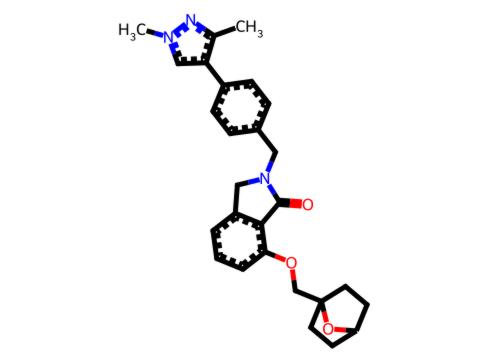 Cc1nn(C)cc1-c1ccc(CN2Cc3cccc(OCC45CCC(CC4)O5)c3C2=O)cc1